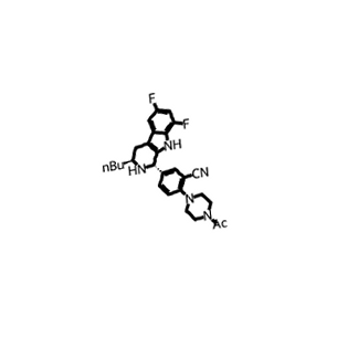 CCCC[C@H]1Cc2c([nH]c3c(F)cc(F)cc23)[C@H](c2ccc(N3CCN(C(C)=O)CC3)c(C#N)c2)N1